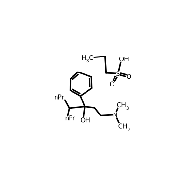 CCCC(CCC)C(O)(CCN(C)C)c1ccccc1.CCCS(=O)(=O)O